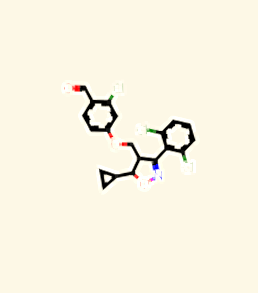 O=Cc1ccc(OCC2C(c3c(Cl)cccc3Cl)=NOC2C2CC2)cc1Cl